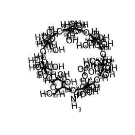 N.O=P(O)(O)OC[C@H]1O[C@@H]2O[C@H]3[C@H](O)[C@@H](O)[C@@H](O[C@H]4[C@H](O)[C@@H](O)[C@@H](O[C@H]5[C@H](O)[C@@H](O)[C@@H](O[C@H]6[C@H](O)[C@@H](O)[C@@H](O[C@H]7[C@H](O)[C@@H](O)[C@@H](O[C@H]8[C@H](O)[C@@H](O)[C@@H](O[C@H]1[C@H](O)[C@H]2O)O[C@@H]8CO)O[C@@H]7CO)O[C@@H]6CO)O[C@@H]5CO)O[C@@H]4CO)O[C@@H]3CO